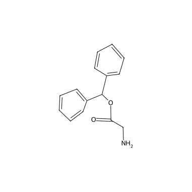 NCC(=O)OC(c1ccccc1)c1ccccc1